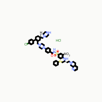 C[C@@]1(CN2CCNCC2)CCC(c2ccc(Cl)cc2)=C(CN2CCN(c3ccc(C(=O)NS(=O)(=O)c4ccc(N[C@H](CCN5CCc6cccnc6C5)CSc5ccccc5)c([N+](=O)[O-])c4)cc3)CC2)C1.Cl